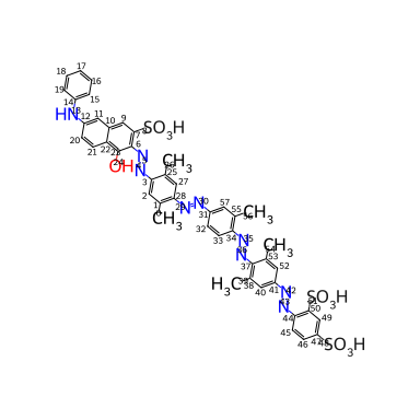 Cc1cc(N=Nc2c(S(=O)(=O)O)cc3cc(Nc4ccccc4)ccc3c2O)c(C)cc1N=Nc1ccc(N=Nc2c(C)cc(N=Nc3ccc(S(=O)(=O)O)cc3S(=O)(=O)O)cc2C)c(C)c1